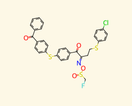 O=C(/C(CCSc1ccc(Cl)cc1)=N/OS(=O)CF)c1ccc(Sc2ccc(C(=O)c3ccccc3)cc2)cc1